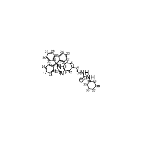 O=C(NSCC1CCc2c(ncn2C(c2ccccc2)(c2ccccc2)c2ccccc2)C1)NC1CCCCC1